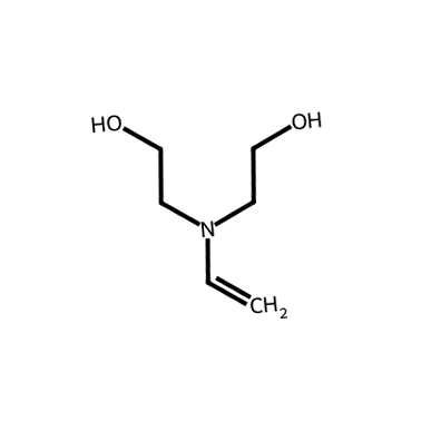 C=CN(CCO)CCO